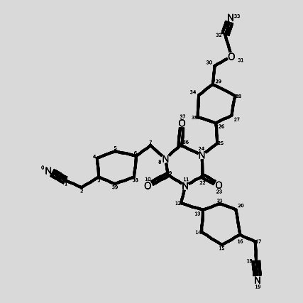 N#CCC1CCC(Cn2c(=O)n(CC3CCC(CC#N)CC3)c(=O)n(CC3CCC(COC#N)CC3)c2=O)CC1